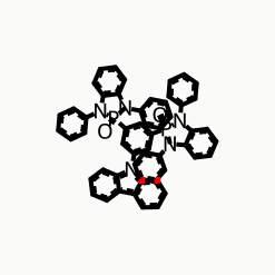 O=P1(c2cc(-n3c4ccccc4c4ccccc43)cc(P3(=O)N(c4ccccc4)c4ccccc4N3c3ccccc3)c2)N(c2ccccc2)c2ccccc2N1c1ccccc1